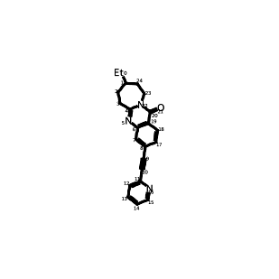 CCC1CCc2nc3cc(C#Cc4ccccn4)ccc3c(=O)n2CC1